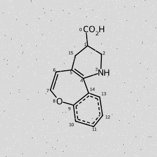 O=C(O)C1CNC2=C(C=COc3ccccc32)C1